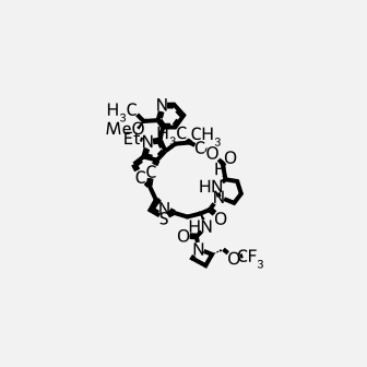 CCn1c(-c2cccnc2[C@H](C)OC)c2c3cc(ccc31)-c1csc(n1)C[C@H](NC(=O)N1CC[C@H]1COC(F)(F)F)C(=O)N1CCC[C@H](N1)C(=O)OCC(C)(C)C2